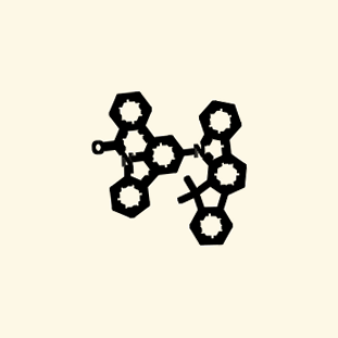 CC1(C)c2ccccc2-c2ccc3c4ccccc4n(-c4cc5c6ccccc6c(=O)n6c7ccccc7c(c4)c56)c3c21